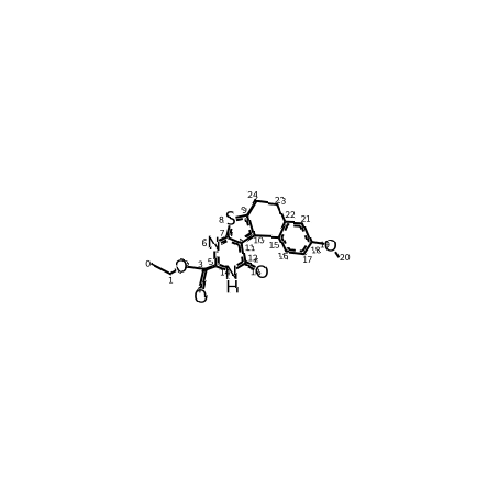 CCOC(=O)c1nc2sc3c(c2c(=O)[nH]1)-c1ccc(OC)cc1CC3